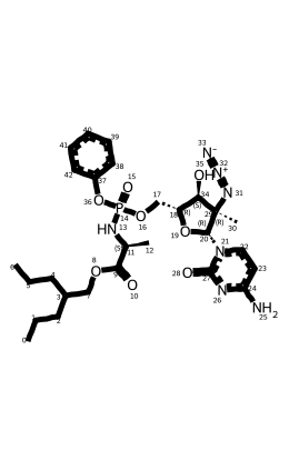 CCCC(CCC)COC(=O)[C@H](C)NP(=O)(OC[C@H]1O[C@@H](n2ccc(N)nc2=O)[C@](C)(N=[N+]=[N-])[C@@H]1O)Oc1ccccc1